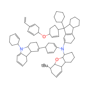 C=CC1=CCC(OC2C=CC(C3(C4CCCCC4)C4=C(CCC(N(C5=CCC(C6=CC7C8CC=CC=C8N(C8C=CCCC8)C7CC6)C=C5)C5CCCC6C7C=CCC(C(C)(C)C)C7OC65)=C4)C4CCCCC43)CC2)C=C1